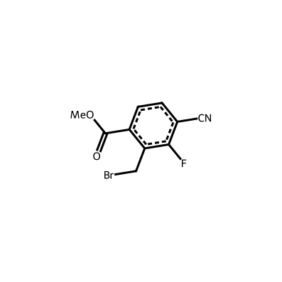 COC(=O)c1ccc(C#N)c(F)c1CBr